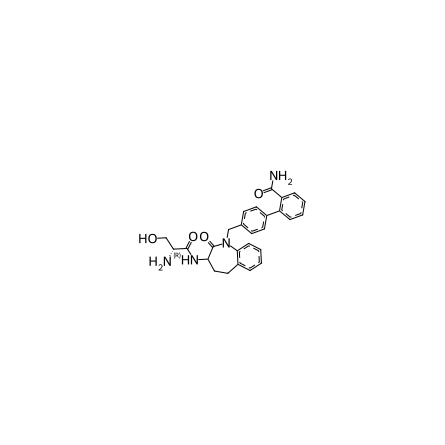 NC(=O)c1ccccc1-c1ccc(CN2C(=O)C(NC(=O)[C@H](N)CO)CCc3ccccc32)cc1